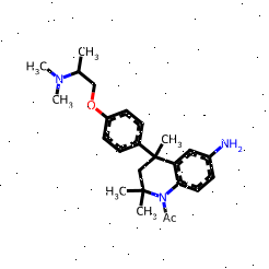 CC(=O)N1c2ccc(N)cc2C(C)(c2ccc(OCC(C)N(C)C)cc2)CC1(C)C